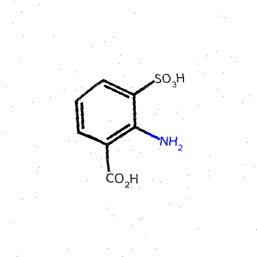 Nc1c(C(=O)O)cccc1S(=O)(=O)O